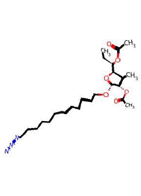 CC[C@@H](OC(C)=O)[C@@H]1O[C@@H](OC/C=C/CCCCCCCCCN=[N+]=[N-])[C@@H](OC(C)=O)C1C